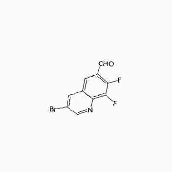 O=Cc1cc2cc(Br)cnc2c(F)c1F